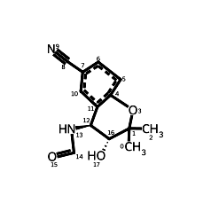 CC1(C)Oc2ccc(C#N)cc2[C@H](NC=O)[C@H]1O